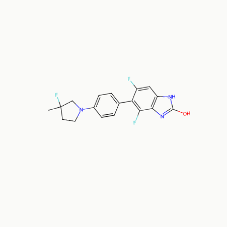 CC1(F)CCN(c2ccc(-c3c(F)cc4[nH]c(O)nc4c3F)cc2)C1